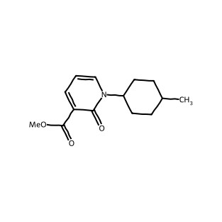 COC(=O)c1cccn(C2CCC(C)CC2)c1=O